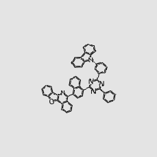 c1ccc(-c2nc(-c3cccc(-n4c5ccccc5c5ccccc54)c3)nc(-c3ccc(-c4nc5c6ccccc6oc5c5ccccc45)c4ccccc34)n2)cc1